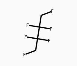 F[C]C(F)(F)C(F)(F)[C]F